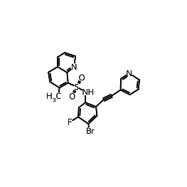 Cc1ccc2cccnc2c1S(=O)(=O)Nc1cc(F)c(Br)cc1C#Cc1cccnc1